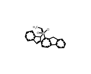 C[CH]=[Zr]([Cl])([Cl])([c]1cccc2c1Cc1ccccc1-2)[CH]1C=Cc2ccccc21